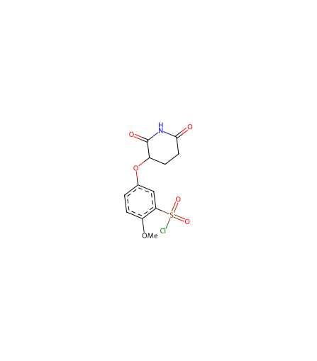 COc1ccc(OC2CCC(=O)NC2=O)cc1S(=O)(=O)Cl